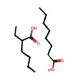 CCCCC(CC)C(=O)O.CCCCCCCC(=O)O